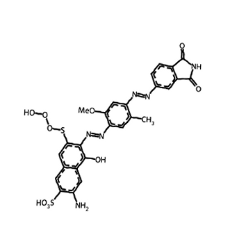 COc1cc(N=Nc2ccc3c(c2)C(=O)NC3=O)c(C)cc1N=Nc1c(SOOO)cc2cc(S(=O)(=O)O)c(N)cc2c1O